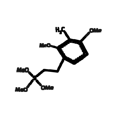 COc1ccc(CC[Si](OC)(OC)OC)c(OC)c1C